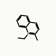 CC[n+]1c(C)ccc2ccccc21